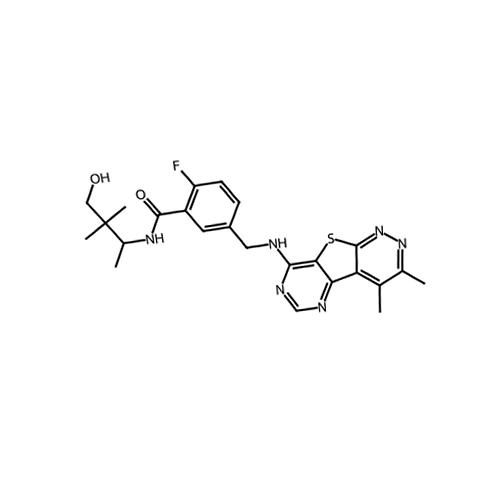 Cc1nnc2sc3c(NCc4ccc(F)c(C(=O)NC(C)C(C)(C)CO)c4)ncnc3c2c1C